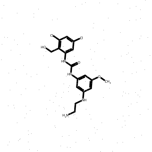 COc1cc(NCCN)cc(NC(=O)Nc2cc(Cl)cc(Cl)c2CO)c1